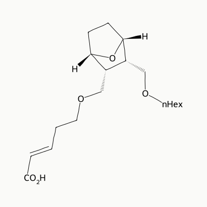 CCCCCCOC[C@@H]1[C@H](COCC/C=C/C(=O)O)[C@@H]2CC[C@H]1O2